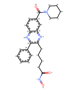 O=NC(=O)CCCCc1nc2cc(C(=O)N3CCCCC3)ccc2nc1-c1ccccc1